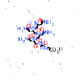 NC(=O)C[C@H](NC(=O)[C@H](CC(N)=O)NC(=O)[C@H](CC(N)=O)NC(=O)[C@@H](N)CC(N)=O)C(=O)NCC(=O)NCC(=O)O